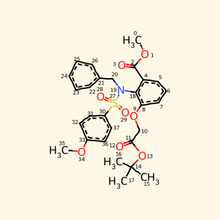 COC(=O)c1cccc(OCC(=O)OC(C)(C)C)c1N(Cc1ccccc1)S(=O)(=O)c1ccc(OC)cc1